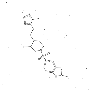 CC1Cc2cc(S(=O)(=O)N3CCC(CSc4nccn4C)C(F)C3)ccc2O1